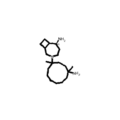 CC1(N)CCCCCCC(C)(N2CC[C@H](N)C3CCC3C2)CC1